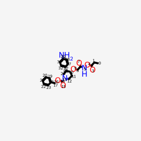 CCC(=O)ONC(=O)COC1CCN(C(=O)OCc2ccccc2)C[C@@H]1c1ccc(N)cc1